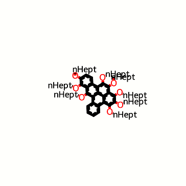 CCCCCCCOc1ccc2c(c1OCCCCCCC)c(OCCCCCCC)c1c3ccccc3c3c(OCCCCCCC)c(OCCCCCCC)c(OCCCCCCC)c4c(OCCCCCCC)c(OCCCCCCC)c2c1c43